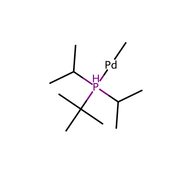 [CH3][Pd][PH](C(C)C)(C(C)C)C(C)(C)C